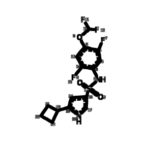 O=S(=O)(Nc1cc(F)c(OC(F)F)cc1F)c1c[nH]c(C2CCC2)c1